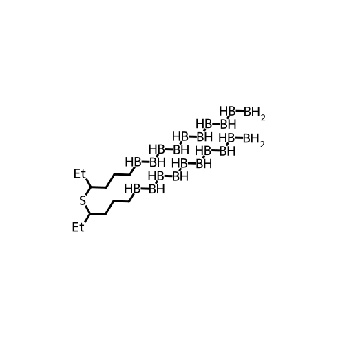 BBBBBBBBBBCCCC(CC)SC(CC)CCCBBBBBBBBBB